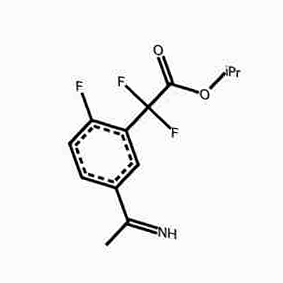 CC(=N)c1ccc(F)c(C(F)(F)C(=O)OC(C)C)c1